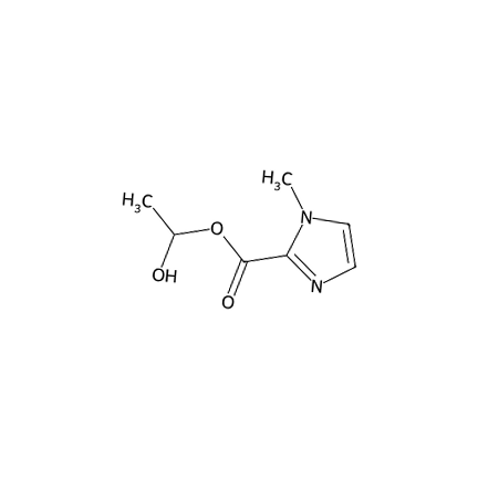 CC(O)OC(=O)c1nccn1C